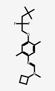 Cc1cc(OCC(F)(F)CC(C)(C)C)c(C)cc1/N=C/N(C)C1CCC1